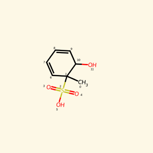 CC1(S(=O)(=O)O)C=CC=CC1O